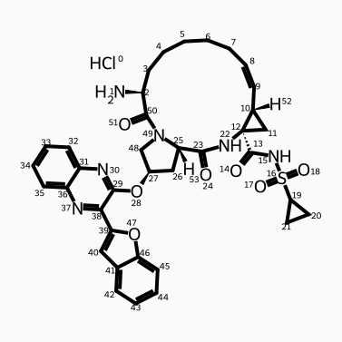 Cl.N[C@H]1CCCCCC=C[C@@H]2C[C@@]2(C(=O)NS(=O)(=O)C2CC2)NC(=O)[C@@H]2C[C@@H](Oc3nc4ccccc4nc3-c3cc4ccccc4o3)CN2C1=O